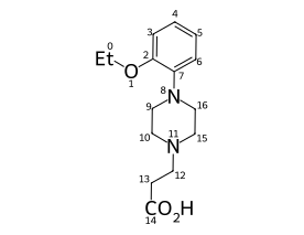 CCOc1ccccc1N1CCN(CCC(=O)O)CC1